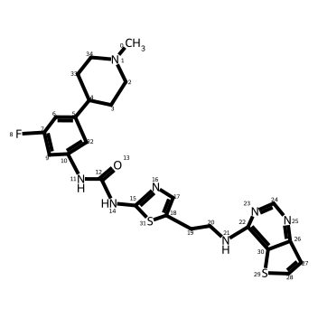 CN1CCC(c2cc(F)cc(NC(=O)Nc3ncc(CCNc4ncnc5ccsc45)s3)c2)CC1